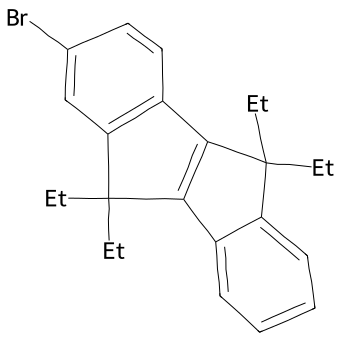 CCC1(CC)C2=C(c3ccccc31)C(CC)(CC)c1cc(Br)ccc12